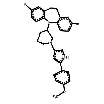 Fc1ccc2c(c1)CCc1cc(F)ccc1N2C1CCCN(c2c[nH]c(-c3ccc(OC(F)(F)F)cc3)n2)C1